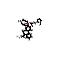 CN1CCC[C@H]1CSc1nc(N2C3CNCC2COC3)c2cc(Cl)c(-c3ccc(F)c4sc(N)c(C#N)c34)c(F)c2n1